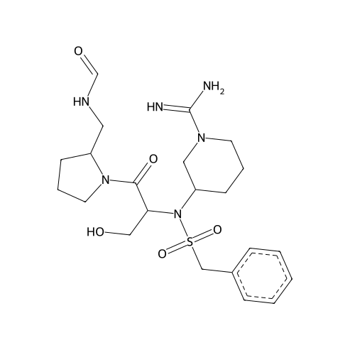 N=C(N)N1CCCC(N(C(CO)C(=O)N2CCCC2CNC=O)S(=O)(=O)Cc2ccccc2)C1